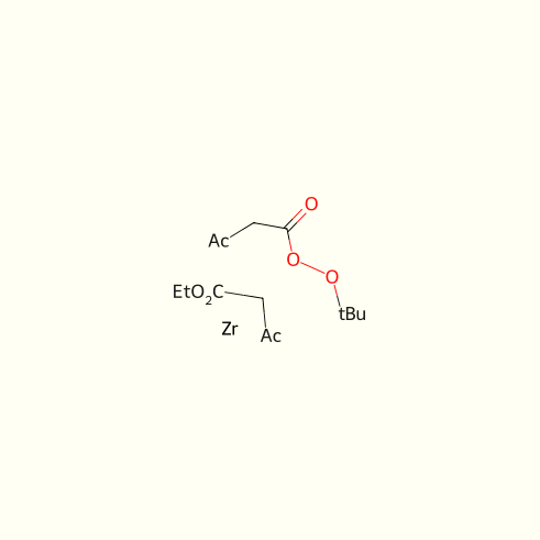 CC(=O)CC(=O)OOC(C)(C)C.CCOC(=O)CC(C)=O.[Zr]